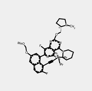 COCOc1cc(-c2nc(C)c3c(N4CCCCC4)nc(OC[C@@H]4CCCN4C)nc3c2F)c2c(C#C[Si](C(C)C)(C(C)C)C(C)C)c(F)ccc2c1